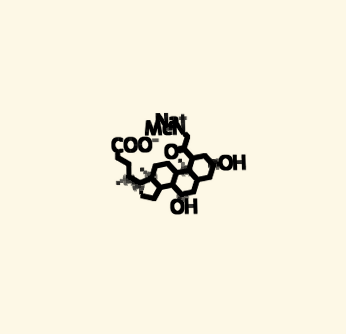 CNCC(=O)C1C[C@H](O)CC2C[C@H](O)C3C(CC[C@@]4(C)C3CC[C@@H]4[C@H](C)CCC(=O)[O-])[C@]21C.[Na+]